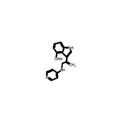 C=C(CNc1ccncc1)c1c[nH]c2cccc(OC)c12